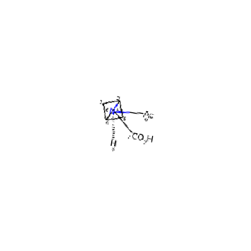 CC(=O)N1C2CC(C2)[C@H]1C(=O)O